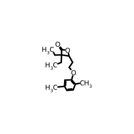 CCC1(CC)C(=O)OC1CCOc1cc(C)ccc1C